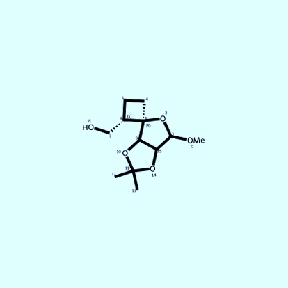 COC1O[C@@]2(CC[C@H]2CO)C2OC(C)(C)OC12